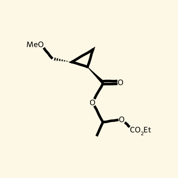 CCOC(=O)OC(C)OC(=O)[C@@H]1C[C@H]1COC